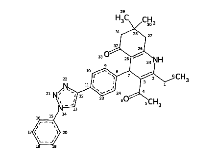 CCC1=C(C(C)=O)C(c2ccc(-c3cn(-c4ccccc4)nn3)cc2)C2=C(CC(C)(C)CC2=O)N1